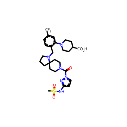 CS(=O)(=O)Nc1ccn(C(=O)N2CCC3(CCCN3Cc3ccc(C(F)(F)F)cc3N3CCC(C(=O)O)CC3)CC2)n1